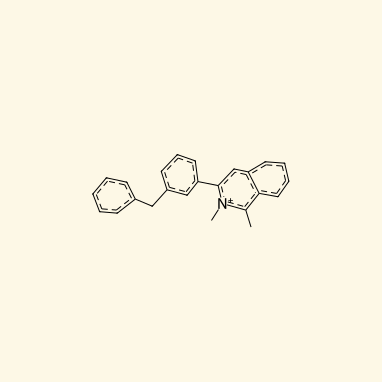 Cc1c2ccccc2cc(-c2cccc(Cc3ccccc3)c2)[n+]1C